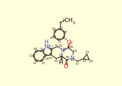 CCc1ccc([C@H]2c3[nH]c4ccccc4c3C[C@H]3C(=O)N(CC4CC4)CC(=O)N23)cc1